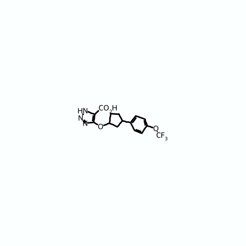 O=C(O)c1[nH]nnc1OC1CCC(c2ccc(OC(F)(F)F)cc2)C1